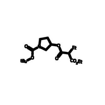 CCOC(=O)C(CC)C(=O)OC1CCN(C(=O)OC(C)(C)C)C1